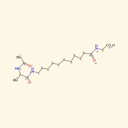 CCC(C)C(NC(=O)C(C)(C)C)C(=O)NCCCCCCCCCCC(=O)NCC(=O)O